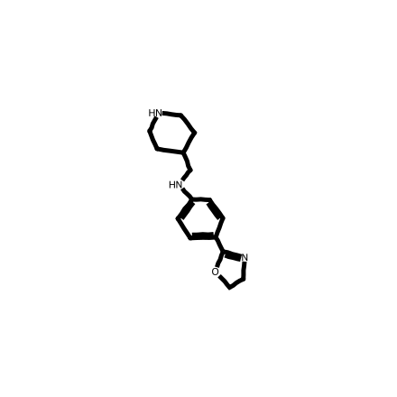 c1cc(C2=NCCO2)ccc1NCC1CCNCC1